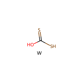 OC(=S)S.[W]